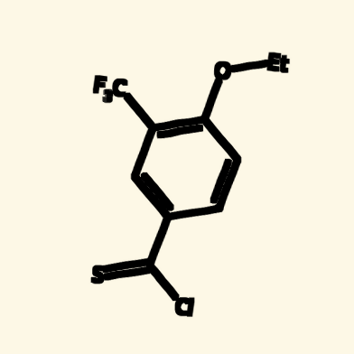 CCOc1ccc(C(=S)Cl)cc1C(F)(F)F